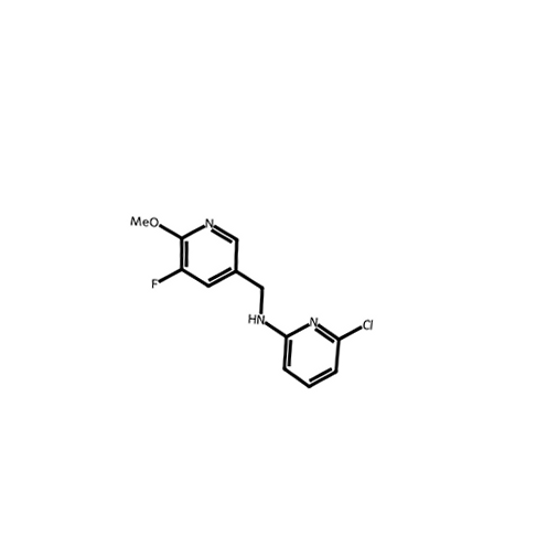 COc1ncc(CNc2cccc(Cl)n2)cc1F